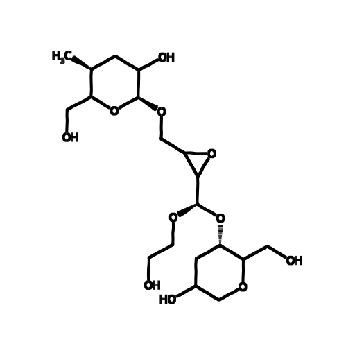 C[C@H]1CC(O)[C@@H](OCC2OC2[C@H](OCCO)O[C@H]2CC(O)COC2CO)OC1CO